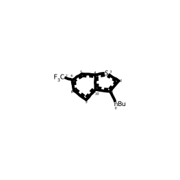 CCCCc1csc2cc(C(F)(F)F)ccc12